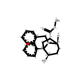 CC(C)(C)OC(=O)[C@H]1C[C@@]2(c3ccccc3)[C@H](O)CC[C@@H]1N2Cc1ccccc1